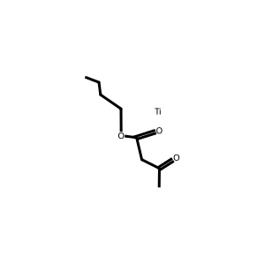 CCCCOC(=O)CC(C)=O.[Ti]